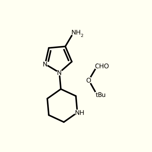 CC(C)(C)OC=O.Nc1cnn(C2CCCNC2)c1